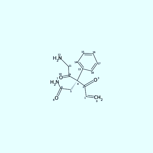 C=CC(=O)[C@@](CC(N)=O)(C(=O)CN)c1ccccc1